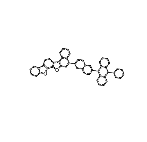 c1ccc(-c2c3ccccc3c(-c3ccc4cc(-c5cc6oc7c(ccc8c9ccccc9oc87)c6c6ccccc56)ccc4c3)c3ccccc23)cc1